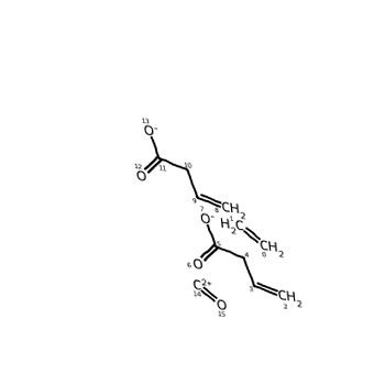 C=C.C=CCC(=O)[O-].C=CCC(=O)[O-].[C+2]=O